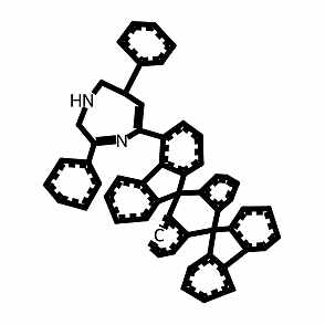 C1=C(c2cccc3c2-c2ccccc2C32c3ccccc3C3(c4ccccc4-c4ccccc43)c3ccccc32)\N=C(\c2ccccc2)CNCC/1c1ccccc1